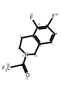 O=C(N1CCc2c(ccc(F)c2F)C1)C(F)(F)F